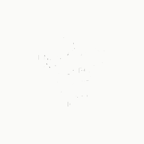 O=C(O)c1ccc(-c2n[nH]c3c2C(Cc2c(Cl)cccc2C(F)(F)F)CCC3)cc1